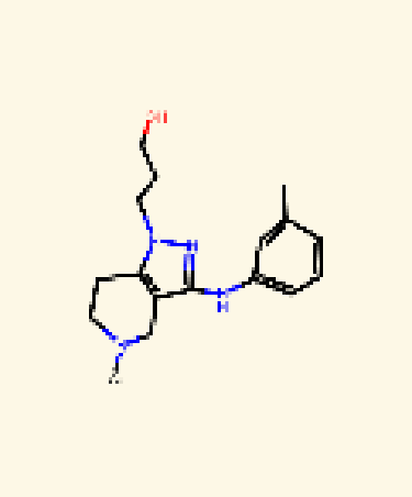 CC(=O)N1CCc2c(c(Nc3cccc(C)c3)nn2CCCO)C1